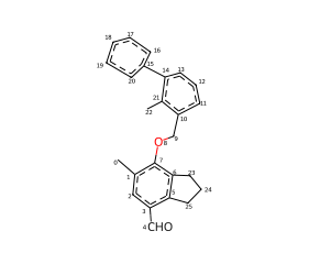 Cc1cc(C=O)c2c(c1OCc1cccc(-c3ccccc3)c1C)CCC2